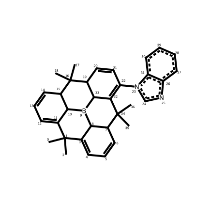 CC1(C)C2=CC=CC3C2B2C4C1=CC=CC4C(C)(C)C1C=CC(n4cnc5ccccc54)=C(C21)C3(C)C